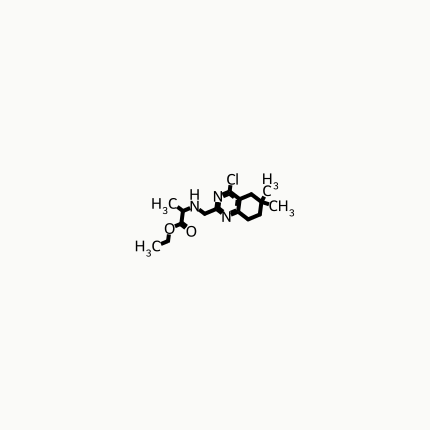 CCOC(=O)C(C)NCc1nc(Cl)c2c(n1)CCC(C)(C)C2